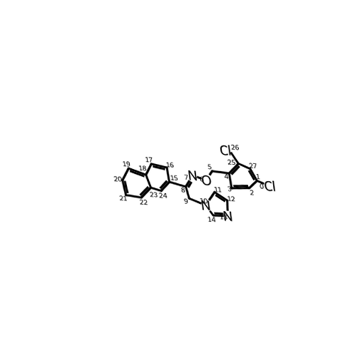 Clc1ccc(CON=C(Cn2ccnc2)c2ccc3ccccc3c2)c(Cl)c1